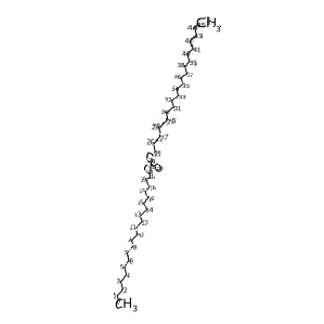 CCCCCCCCCCCCCCCCCCCCCOC(=O)OCCCCCCCCCCCCCCCCCCCCC